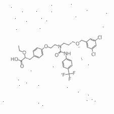 CCOC(Cc1ccc(OCCN(CCCOCc2cc(Cl)cc(Cl)c2)C(=O)Nc2ccc(C(F)(F)F)cc2)cc1)C(=O)O